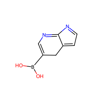 OB(O)C1=CN=C2N=CC=C2C1